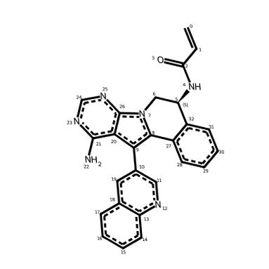 C=CC(=O)N[C@@H]1Cn2c(c(-c3cnc4ccccc4c3)c3c(N)ncnc32)-c2ccccc21